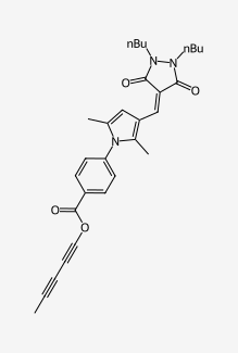 CC#CC#COC(=O)c1ccc(-n2c(C)cc(C=C3C(=O)N(CCCC)N(CCCC)C3=O)c2C)cc1